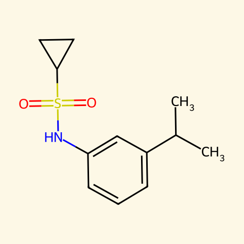 CC(C)c1cccc(NS(=O)(=O)C2CC2)c1